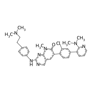 CN(C)CCc1ccc(Nc2ncc3cc(-c4ccc(-c5cccnc5N(C)C)cc4Cl)c(=O)n(C)c3n2)cc1